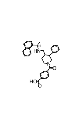 C[C@@H](NCC1CCN(C(=O)c2ccc(C(=O)O)cc2)CC1c1ccccc1)c1cccc2ccccc12